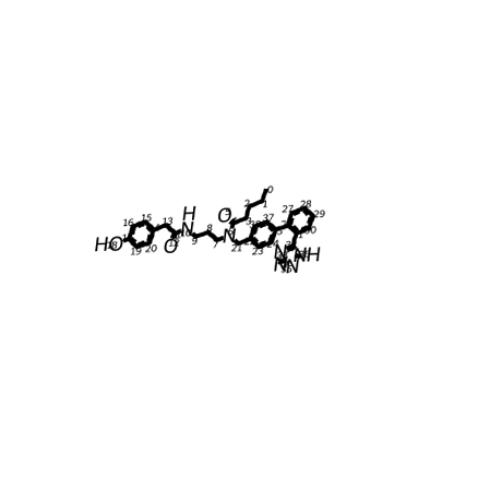 CCCCC(=O)N(CCCNC(=O)Cc1ccc(O)cc1)Cc1ccc(-c2ccccc2-c2nnn[nH]2)cc1